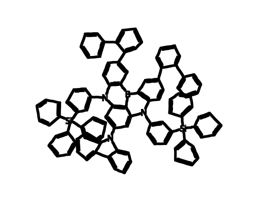 c1ccc(-c2ccccc2-c2ccc3c(c2)B2c4cc(-c5ccccc5-c5ccccc5)ccc4N(c4cccc([Si](c5ccccc5)(c5ccccc5)c5ccccc5)c4)c4cc(-n5c6ccccc6c6ccccc65)cc(c42)N3c2cccc([Si](c3ccccc3)(c3ccccc3)c3ccccc3)c2)cc1